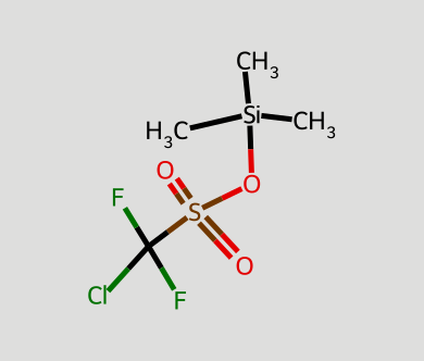 C[Si](C)(C)OS(=O)(=O)C(F)(F)Cl